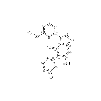 COc1cccc(-c2csc3nc(S)n(-c4cccc(F)c4)c(=O)c23)c1